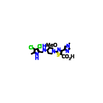 CO[C@H]1CN(c2nc(-c3cn(C)cn3)c(C(=O)O)s2)CC[C@H]1NCc1[nH]c(C)c(Cl)c1Cl